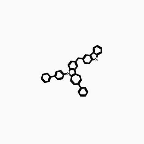 C1=CCCC(c2ccc(-n3c4c(c5cc(CC6=Cc7c(sc8ccccc78)CC6)ccc53)CC=C(c3ccccc3)C=C4)cc2)=C1